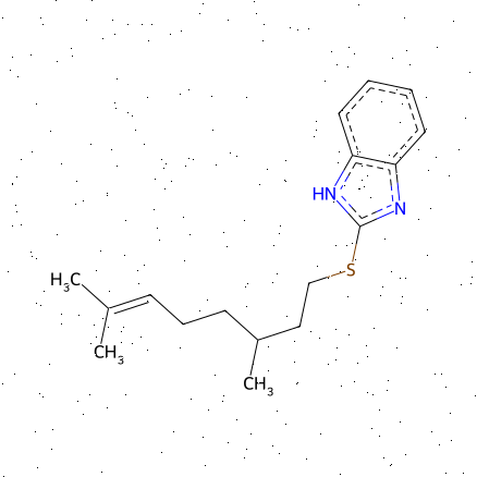 CC(C)=CCCC(C)CCSc1nc2ccccc2[nH]1